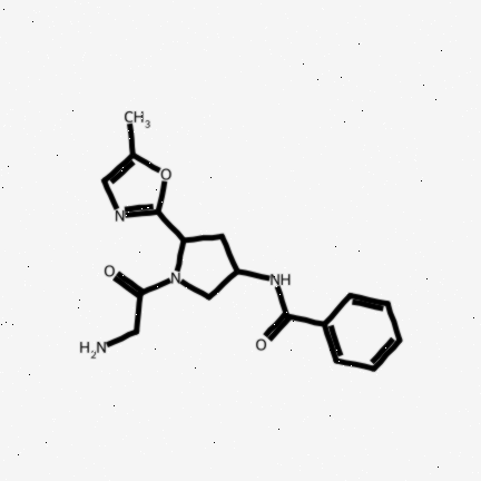 Cc1cnc(C2CC(NC(=O)c3ccccc3)CN2C(=O)CN)o1